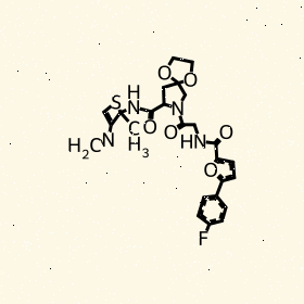 C=NC1=CSC1(C)NC(=O)C1CC2(CN1C(=O)CNC(=O)c1ccc(-c3ccc(F)cc3)o1)OCCO2